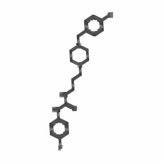 O=C(NCCCN1CCN(Cc2ccc(Cl)cc2)CC1)Nc1ccc(F)cc1